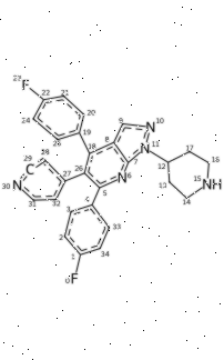 Fc1ccc(-c2nc3c(cnn3C3CCNCC3)c(-c3ccc(F)cc3)c2-c2ccncc2)cc1